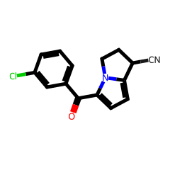 N#CC1CCn2c(C(=O)c3cccc(Cl)c3)ccc21